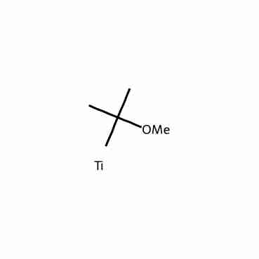 COC(C)(C)C.[Ti]